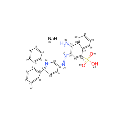 Cc1ccc(-c2ccccc2)c(-c2ccc(N=Nc3cc(S(=O)(=O)O)c4ccccc4c3N)cn2)c1.[NaH]